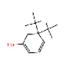 CC(C)(C)C1(C(C)(C)C)C=CC=C(O)C1